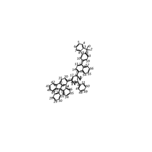 CC1(C)c2ccccc2-c2cc(-c3ccc(-c4cc(-c5ccc6c(c5)C(c5ccccc5)(c5ccccc5)c5ccccc5-6)nc(-c5ccccc5)n4)c4ccccc34)ccc21